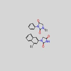 CCN1CC(=O)N(c2ccccc2)C1=O.CCc1cc(N2CC(=O)NC2=O)cc2ccccc12